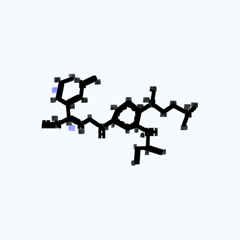 C=CC(=C)Nc1cc(NC/N=C(/NC)C(=CN=C)/C=C\C)ccc1N(C)CCN(C)C